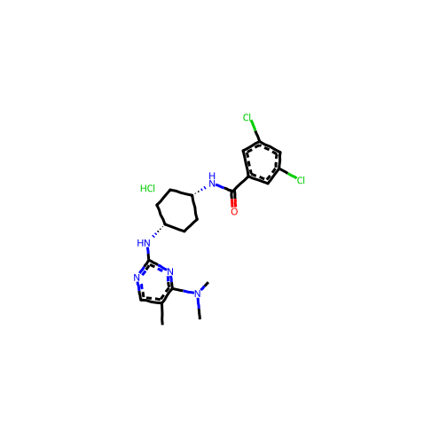 Cc1cnc(N[C@H]2CC[C@@H](NC(=O)c3cc(Cl)cc(Cl)c3)CC2)nc1N(C)C.Cl